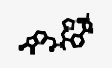 CN(C(=O)Cc1ccc2c(c1)NC(=O)C2)C(CN1CC[C@H](O)C1)c1cccc(-c2cn(C)cn2)c1